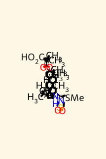 C=C(C)[C@@H]1CC[C@]2(NC[C@@H](CSC)N3CCS(=O)(=O)CC3)CC[C@]3(C)[C@H](CC[C@@H]4[C@@]5(C)CC[C@H](OC(=O)[C@H]6[C@@H](C(=O)O)C6(C)C)C(C)(C)[C@@H]5CC[C@]43C)[C@@H]12